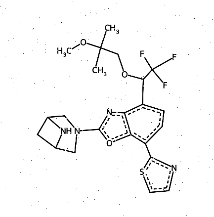 COC(C)(C)COC(c1ccc(-c2nccs2)c2oc(N3CC4CC(C3)N4)nc12)C(F)(F)F